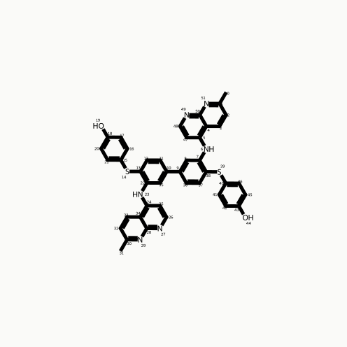 Cc1ccc2c(Nc3cc(-c4ccc(Sc5ccc(O)cc5)c(Nc5ccnc6nc(C)ccc56)c4)ccc3Sc3ccc(O)cc3)ccnc2n1